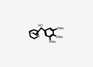 COc1cc(CC2CC3CCN2CC3)cc(OC)c1OC.Cl